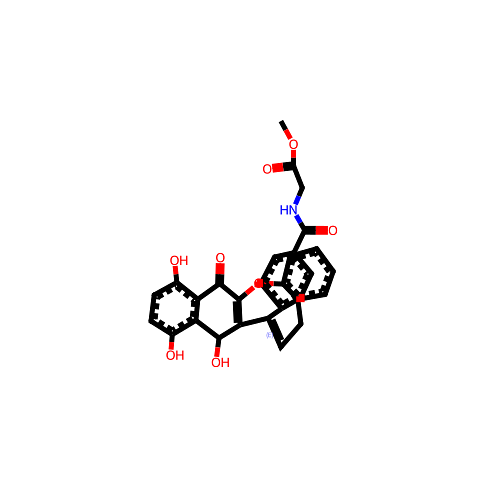 COC(=O)CNC(=O)c1ccc(/C2=C\Cc3ccccc3OC3=C2C(O)c2c(O)ccc(O)c2C3=O)cc1